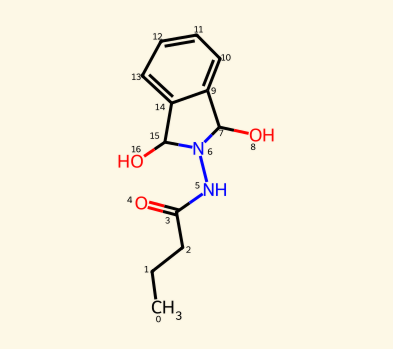 CCCC(=O)NN1C(O)c2ccccc2C1O